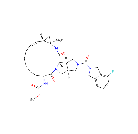 CC(C)(C)OC(=O)N[C@@H]1CCCCC/C=C\[C@@H]2C[C@@]2(C(=O)O)NC(=O)[C@@H]2[C@H]3CN(C(=O)N4Cc5cccc(F)c5C4)C[C@H]3CN2C1=O